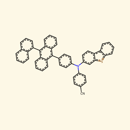 N#Cc1ccc(N(c2ccc(-c3c4ccccc4c(-c4cccc5ccccc45)c4ccccc34)cc2)c2ccc3c(c2)sc2ccccc23)cc1